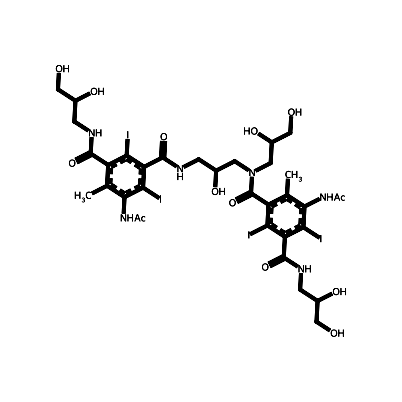 CC(=O)Nc1c(C)c(C(=O)NCC(O)CO)c(I)c(C(=O)NCC(O)CN(CC(O)CO)C(=O)c2c(C)c(NC(C)=O)c(I)c(C(=O)NCC(O)CO)c2I)c1I